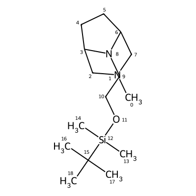 CN1CC2CCC(C1)N2CCO[Si](C)(C)C(C)(C)C